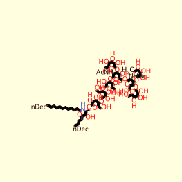 CCCCCCCCCCCCC/C=C/[C@@H](O)[C@H](CO[C@@H]1OC(CO)[C@@H](O[C@@H]2OC(CO)[C@H](O[C@@H]3OC(CO)[C@H](O)[C@H](O[C@@H]4OC(CO[C@@H]5OC(CO)[C@@H](O[C@@H]6OC(CO)[C@H](O)[C@H](O)C6O)[C@H](O[C@H]6OC(C)[C@@H](O)C(O)[C@@H]6O)C5NC(C)=O)[C@H](O)[C@H](O[C@@H]5OC(CO)[C@H](O)[C@H](O)C5O)C4NC(C)=O)C3O)[C@H](O)C2O)[C@H](O)C1O)NC(=O)CCCCCCCCCCCCCCCCCCCCC